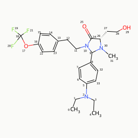 CCN(CC)c1ccc(C2N(CCc3ccc(OC(F)(F)F)cc3)C(=O)[C@H](CCO)N2C)cc1